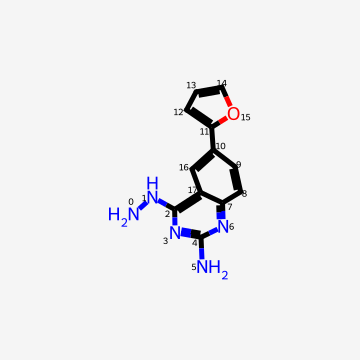 NNc1nc(N)nc2ccc(-c3ccco3)cc12